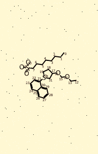 CCCCCCCCS(=O)(=O)[O-].CCOCOC1CC[S+](c2cccc3ccccc23)C1